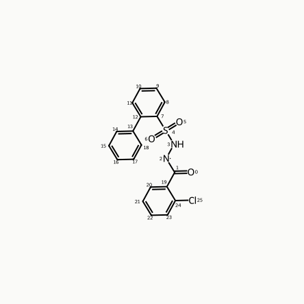 O=C([N]NS(=O)(=O)c1ccccc1-c1ccccc1)c1ccccc1Cl